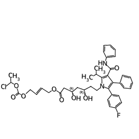 CC(Cl)OC(=O)OCC=CCOC(=O)C[C@H](O)C[C@H](O)CCn1c(-c2ccc(F)cc2)c(-c2ccccc2)c(C(=O)Nc2ccccc2)c1C(C)C